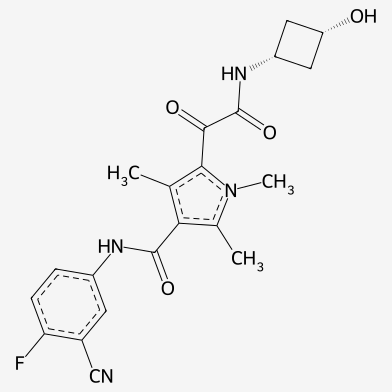 Cc1c(C(=O)Nc2ccc(F)c(C#N)c2)c(C)n(C)c1C(=O)C(=O)N[C@H]1C[C@@H](O)C1